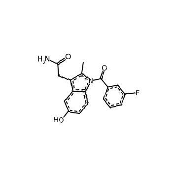 Cc1c(CC(N)=O)c2cc(O)ccc2n1C(=O)c1cccc(F)c1